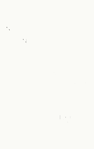 O=C(O)CCC(=O)c1ccc(CCn2ccnc2)s1